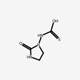 O=C1NCCN1NC(O)=S